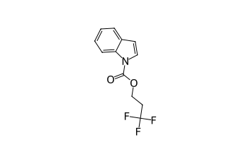 O=C(OCCC(F)(F)F)n1ccc2ccccc21